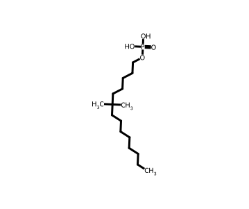 CCCCCCCCC(C)(C)CCCCCOP(=O)(O)O